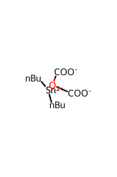 CCC[CH2][Sn+2][CH2]CCC.O=C([O-])OC(=O)[O-]